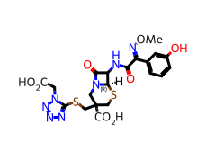 CON=C(C(=O)NC1C(=O)N2CC(CSc3nnnn3CC(=O)O)(C(=O)O)CS[C@H]12)c1cccc(O)c1